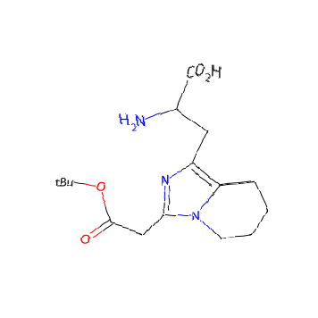 CC(C)(C)OC(=O)Cc1nc(CC(N)C(=O)O)c2n1CCCC2